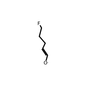 [O]C=CCCCF